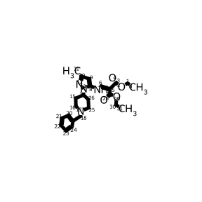 CCOC(=O)C(=CNc1cc(C)nn1C1CCN(Cc2ccccc2)CC1)C(=O)OCC